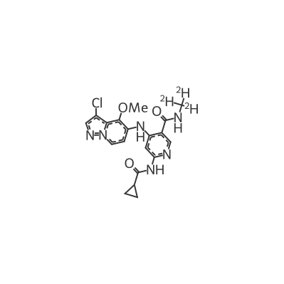 [2H]C([2H])([2H])NC(=O)c1cnc(NC(=O)C2CC2)cc1Nc1ccn2ncc(Cl)c2c1OC